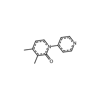 Cc1ccn(-c2ccncc2)c(=O)c1C